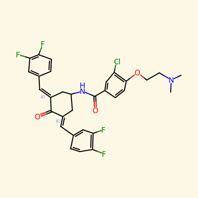 CN(C)CCOc1ccc(C(=O)NC2C/C(=C\c3ccc(F)c(F)c3)C(=O)/C(=C/c3ccc(F)c(F)c3)C2)cc1Cl